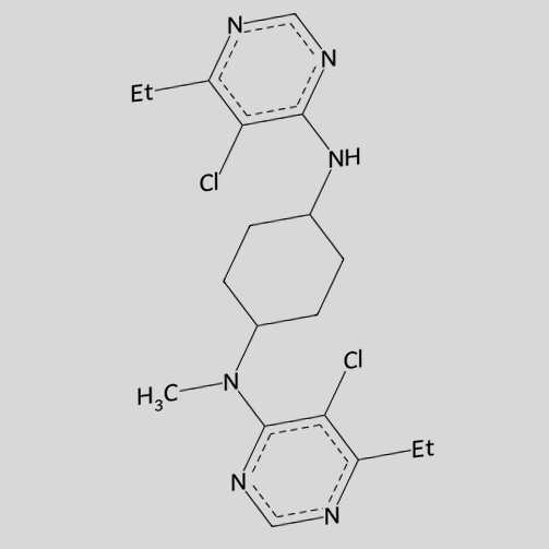 CCc1ncnc(NC2CCC(N(C)c3ncnc(CC)c3Cl)CC2)c1Cl